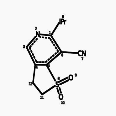 CC(C)c1ncc2c(c1C#N)S(=O)(=O)CC2